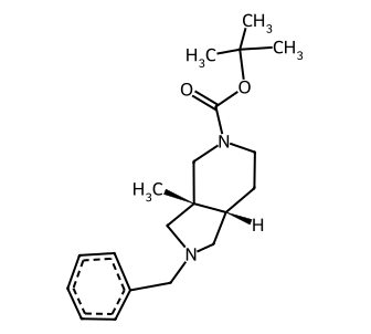 CC(C)(C)OC(=O)N1CC[C@@H]2CN(Cc3ccccc3)C[C@]2(C)C1